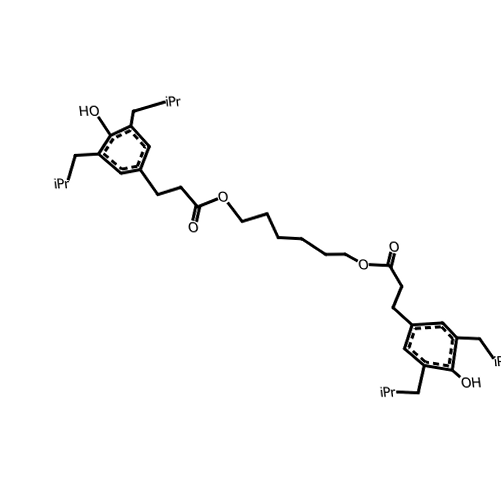 CC(C)Cc1cc(CCC(=O)OCCCCCCOC(=O)CCc2cc(CC(C)C)c(O)c(CC(C)C)c2)cc(CC(C)C)c1O